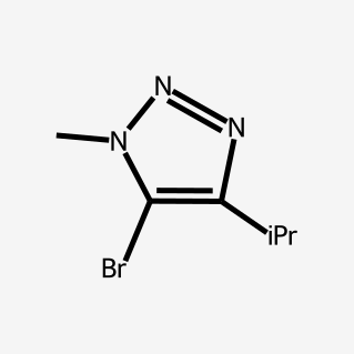 CC(C)c1nnn(C)c1Br